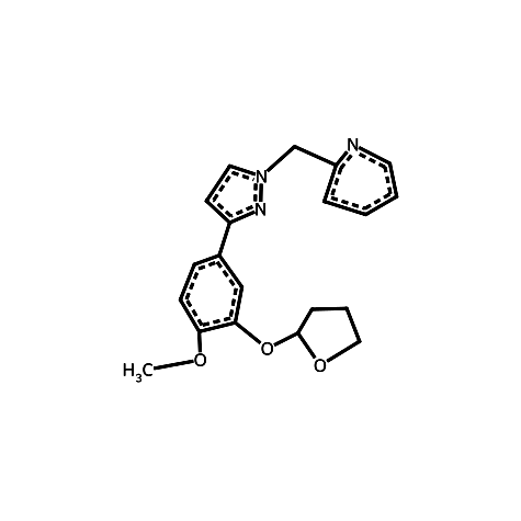 COc1ccc(-c2ccn(Cc3ccccn3)n2)cc1OC1CCCO1